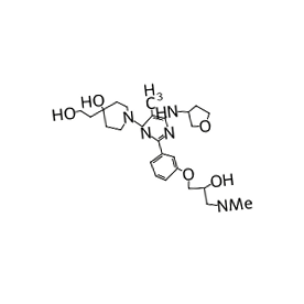 CNCC(O)COc1cccc(-c2nc(NC3CCOC3)c(C)c(N3CCC(O)(CCO)CC3)n2)c1